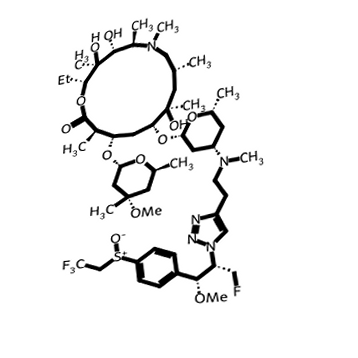 CC[C@H]1OC(=O)[C@H](C)[C@@H](O[C@H]2C[C@@](C)(OC)C[C@H](C)O2)C[C@@H](O[C@H]2C[C@@H](N(C)CCc3cn([C@H](CF)[C@H](OC)c4ccc([S+]([O-])CC(F)(F)F)cc4)nn3)C[C@@H](C)O2)[C@](C)(O)C[C@@H](C)CN(C)[C@H](C)[C@@H](O)[C@]1(C)O